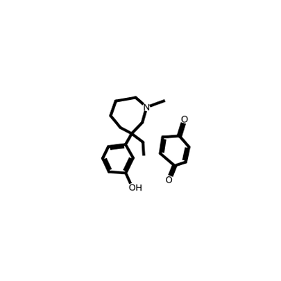 CCC1(c2cccc(O)c2)CCCCN(C)C1.O=C1C=CC(=O)C=C1